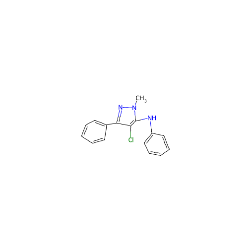 Cn1nc(-c2ccccc2)c(Cl)c1Nc1ccccc1